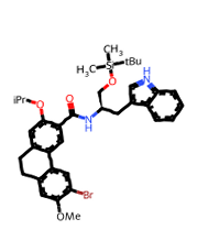 COc1cc2c(cc1Br)-c1cc(C(=O)N[C@@H](CO[Si](C)(C)C(C)(C)C)Cc3c[nH]c4ccccc34)c(OC(C)C)cc1CC2